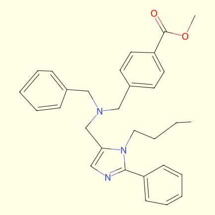 CCCCn1c(CN(Cc2ccccc2)Cc2ccc(C(=O)OC)cc2)cnc1-c1ccccc1